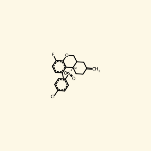 C=C1CC[C@@]2(S(=O)(=O)c3ccc(Cl)cc3)c3c(F)ccc(F)c3OCC2C1